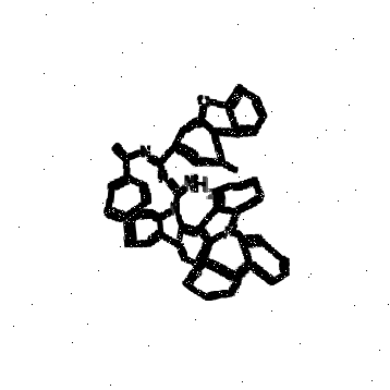 C=C(/N=C(\N=C(/N)n1c2ccccc2c2ccc3c(c4ccccc4n3-c3ccccc3-c3ccccc3)c21)C1=CC(C)C2C(=C1)Oc1ccccc12)c1ccccc1